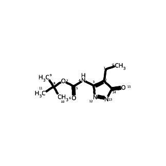 CCC1=C(NC(=O)OC(C)(C)C)N=NC1=O